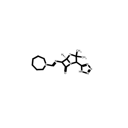 CC1(C)S[C@@H]2C(/N=C/N3CCCCCC3)C(=O)N2C1c1nnn[nH]1